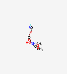 COc1ccc(CCNCC(O)COc2ccc(OCCOCCc3ccc(F)nc3)cc2)cc1OC